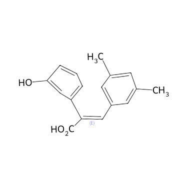 Cc1cc(C)cc(/C=C(/C(=O)O)c2cccc(O)c2)c1